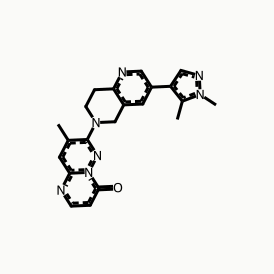 Cc1cc2nccc(=O)n2nc1N1CCc2ncc(-c3cnn(C)c3C)cc2C1